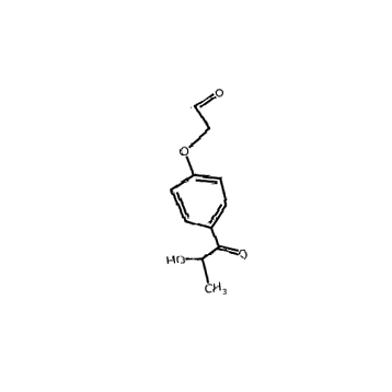 CC(O)C(=O)c1ccc(OC[C]=O)cc1